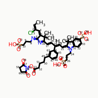 C\C=C(Cl)/C=C1\C(=N\CCCS(=O)(=O)O)N=C(/C=C/C(=C/C=C2/N(CCCS(=O)(=O)O)c3ccc(S(=O)(=O)O)cc3C2(C)C)c2cccc(CCCCC(=O)ON3C(=O)CCC3=O)c2)C1(C)C